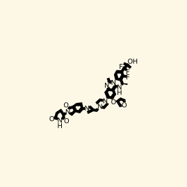 Cc1nc(N[C@H](C)c2cccc(C(F)(F)C(C)(C)O)c2F)c2cc(O[C@H]3CCOC3)c(N3CCN(CC4CN(c5ccc6c(c5)CN(C5CCC(=O)NC5=O)C6=O)C4)CC3)cc2n1